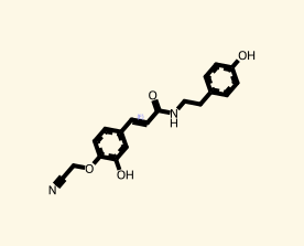 N#CCOc1ccc(/C=C/C(=O)NCCc2ccc(O)cc2)cc1O